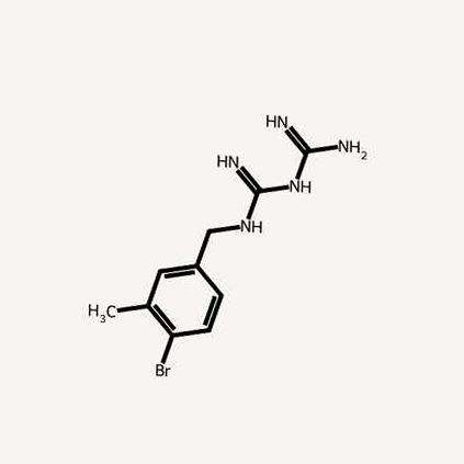 Cc1cc(CNC(=N)NC(=N)N)ccc1Br